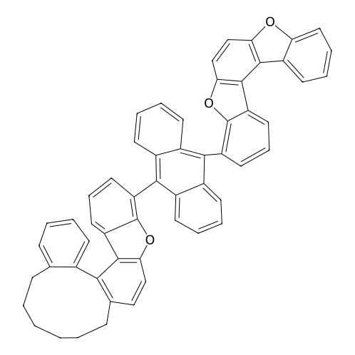 c1ccc2c(c1)CCCCCCc1ccc3oc4c(-c5c6ccccc6c(-c6cccc7c6oc6ccc8oc9ccccc9c8c67)c6ccccc56)cccc4c3c1-2